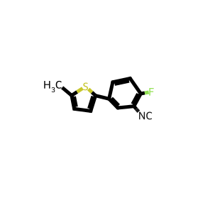 [C-]#[N+]c1cc(-c2ccc(C)s2)ccc1F